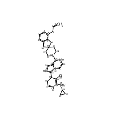 C=CCc1cccc2c1CC1(CCN(c3nccn4c(C5CC=NC(NC6CC6)=C5Cl)ncc34)CC1)C2